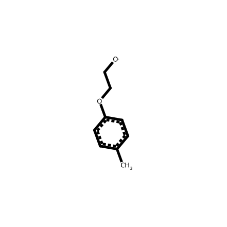 Cc1ccc(OCC[O])cc1